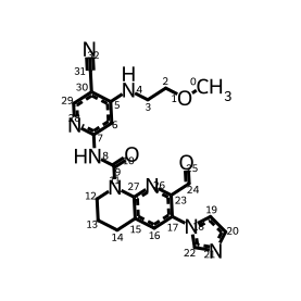 COCCNc1cc(NC(=O)N2CCCc3cc(-n4ccnc4)c(C=O)nc32)ncc1C#N